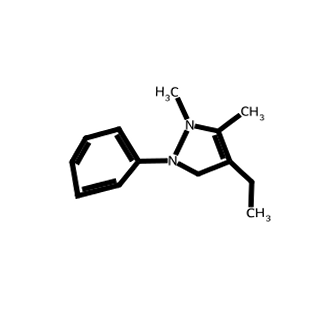 CCC1=C(C)N(C)N(c2ccccc2)C1